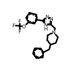 FC(F)(F)Oc1cccc(-c2nnc(CN3CCC(Cc4ccccc4)CC3)[nH]2)c1